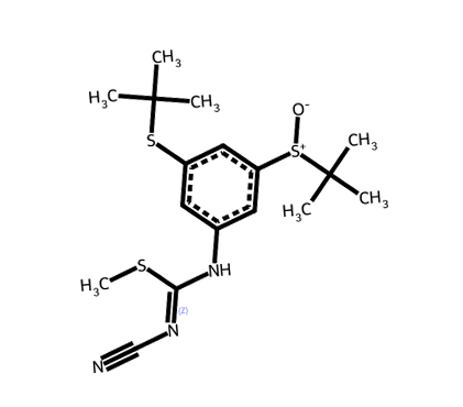 CS/C(=N\C#N)Nc1cc(SC(C)(C)C)cc([S+]([O-])C(C)(C)C)c1